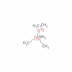 C=C(C)C(=O)OCCC([SiH3])(OCCCC)OCCCC